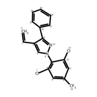 C=Cc1cn(-c2c(Cl)cc(C(F)(F)F)cc2Cl)nc1-c1ccccc1